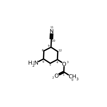 CC(=O)OC1CC(N)CC(C#N)C1